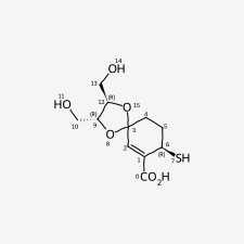 O=C(O)C1=CC2(CC[C@H]1S)O[C@H](CO)[C@@H](CO)O2